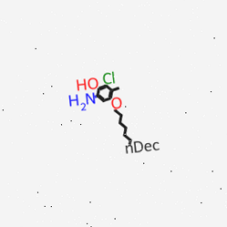 CCCCCCCCCCCCCCCCOc1cc(N)c(O)c(Cl)c1C